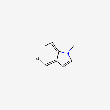 C/C=c1\c(=C/CC)ccn1C